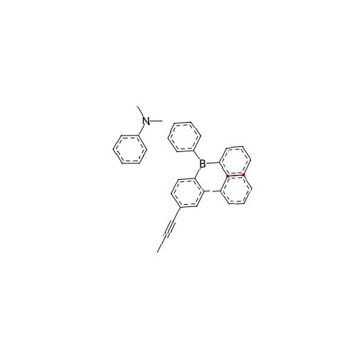 CC#Cc1ccc(B(c2ccccc2)c2ccccc2)c(-c2ccccc2)c1.CN(C)c1ccccc1